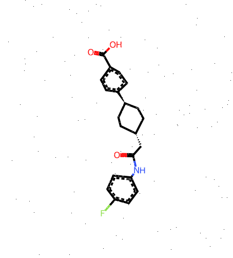 O=C(C[C@H]1CC[C@H](c2ccc(C(=O)O)cc2)CC1)Nc1ccc(F)cc1